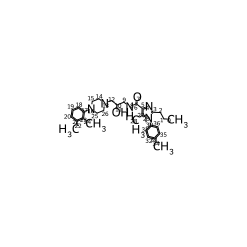 CCCc1nc(C(=O)NCC(O)CN2CCN(c3cccc(C)c3C)CC2)c(C)n1-c1ccc(C)cc1